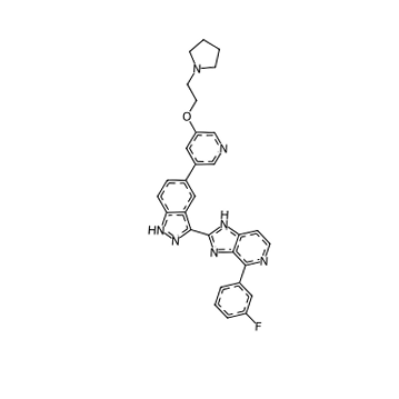 Fc1cccc(-c2nccc3[nH]c(-c4n[nH]c5ccc(-c6cncc(OCCN7CCCC7)c6)cc45)nc23)c1